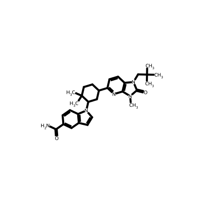 Cn1c(=O)n(CC(C)(C)C)c2ccc(C3CCC(C)(C)C(n4ccc5cc(C(N)=O)ccc54)C3)nc21